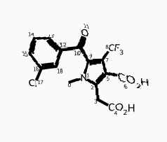 Cn1c(CC(=O)O)c(C(=O)O)c(C(F)(F)F)c1C(=O)c1cccc(Cl)c1